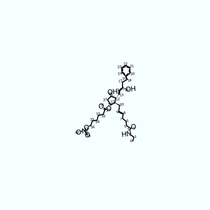 CCNC(=O)CCCC=CC[C@@H]1[C@@H](C=C[C@@H](O)CCc2ccccc2)[C@H](O)C[C@@H]1OC(=O)CCCCCO[N+](=O)[O-]